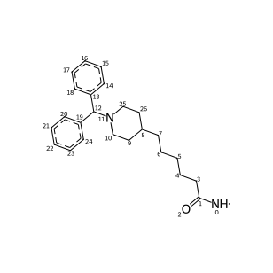 [NH]C(=O)CCCCCC1CCN(C(c2ccccc2)c2ccccc2)CC1